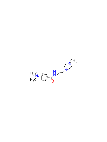 CN1CCN(CCCNC(=O)c2ccc(N(C)C)cc2)CC1